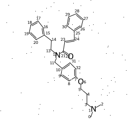 CN(C)CCCOc1ccc(CN(CCc2ccccc2)C(=O)/C=C/c2ccccc2)cc1